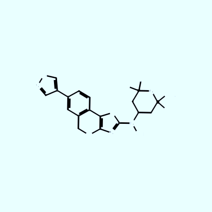 CN(c1nc2c(s1)-c1ccc(-c3cnoc3)cc1CO2)C1CC(C)(C)NC(C)(C)C1